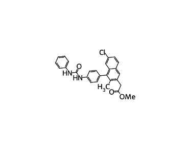 COC(=O)Cc1cc2ccc(Cl)cc2c(-c2ccc(NC(=O)Nc3ccccc3)cc2)c1C